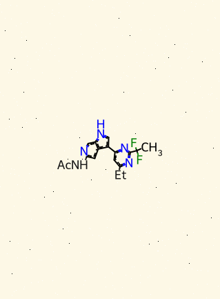 CCc1cc(-c2c[nH]c3cnc(NC(C)=O)cc23)nc(C(C)(F)F)n1